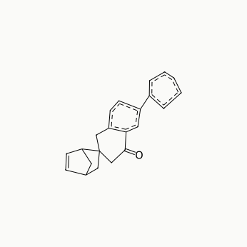 O=C1CC2(Cc3ccc(-c4ccccc4)cc31)CC1C=CC2C1